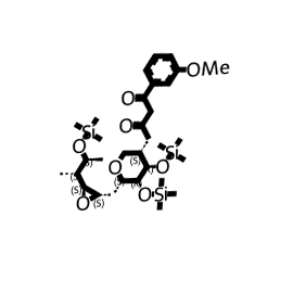 COc1cccc(C(=O)CC(=O)C[C@H]2CO[C@@H](C[C@@H]3O[C@H]3[C@H](C)[C@H](C)O[Si](C)(C)C)[C@@H](O[Si](C)(C)C)[C@@H]2O[Si](C)(C)C)c1